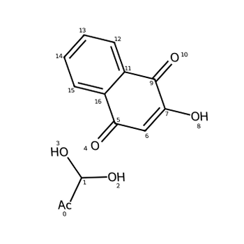 CC(=O)C(O)O.O=C1C=C(O)C(=O)c2ccccc21